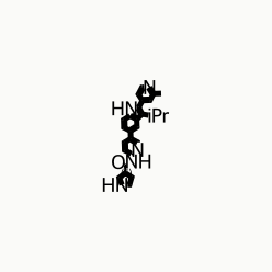 Cc1cc(-c2[nH]c3ccc(-c4ccc(NC(=O)[C@H]5CCNC5)nc4)cc3c2C(C)C)ccn1